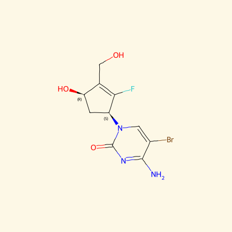 Nc1nc(=O)n([C@H]2C[C@@H](O)C(CO)=C2F)cc1Br